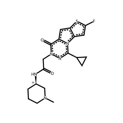 CN1CCC[C@@H](NC(=O)Cn2nc(C3CC3)n3c(cc4sc(F)cc43)c2=O)C1